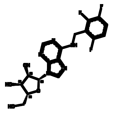 OC[C@H]1O[C@@H](n2cnc3c(NCc4c(F)ccc(F)c4F)ncnc32)[C@H](O)[C@@H]1O